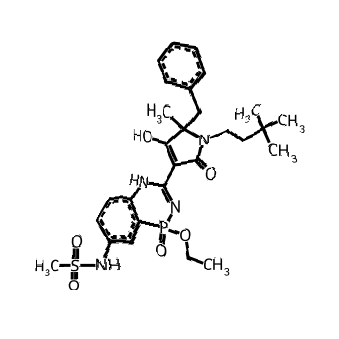 CCOP1(=O)N=C(C2=C(O)C(C)(Cc3ccccc3)N(CCC(C)(C)C)C2=O)Nc2ccc(NS(C)(=O)=O)cc21